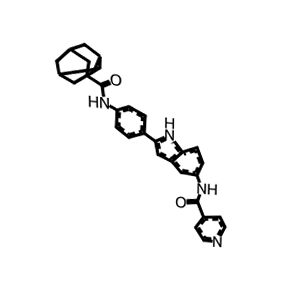 O=C(Nc1ccc2[nH]c(-c3ccc(NC(=O)C45CC6CC(CC(C6)C4)C5)cc3)cc2c1)c1ccncc1